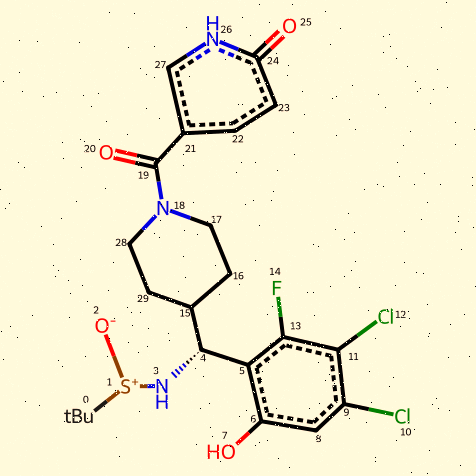 CC(C)(C)[S+]([O-])N[C@@H](c1c(O)cc(Cl)c(Cl)c1F)C1CCN(C(=O)c2ccc(=O)[nH]c2)CC1